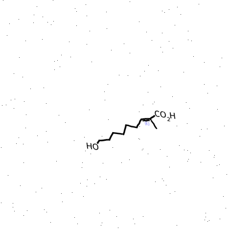 C/C(=C\CCCCCCO)C(=O)O